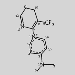 CN(C)c1cc[n+](C2=C(C(F)(F)F)CCC=N2)cc1